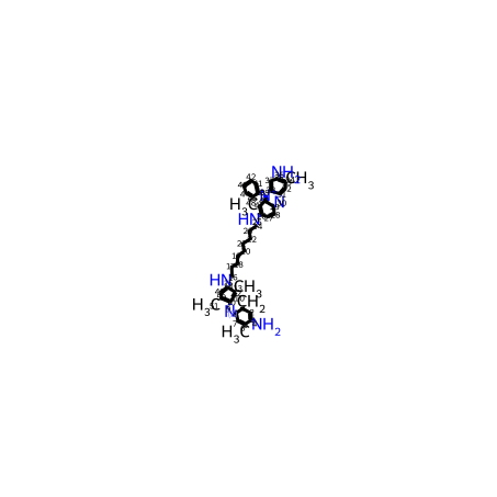 C=C1C=C(N)C(C)=C/C1=N/c1cc(C)c(NCCCCCCCCCNc2ccc3nc4cc(C)c(N)cc4[n+](-c4ccccc4)c3c2C)cc1C